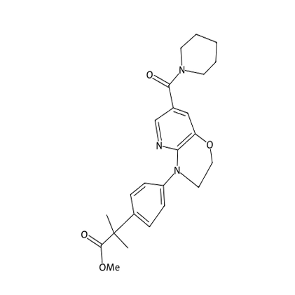 COC(=O)C(C)(C)c1ccc(N2CCOc3cc(C(=O)N4CCCCC4)cnc32)cc1